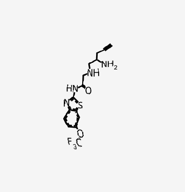 C#CCC(N)CNCC(=O)Nc1nc2ccc(OC(F)(F)F)cc2s1